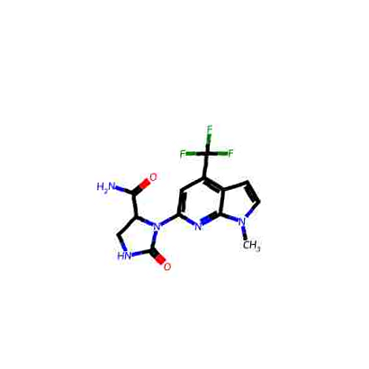 Cn1ccc2c(C(F)(F)F)cc(N3C(=O)NCC3C(N)=O)nc21